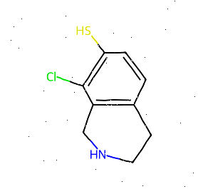 Sc1ccc2c(c1Cl)CNCC2